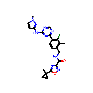 Cc1c(CNC(=O)c2noc(C3(C)CC3)n2)ccc(-c2ncnc(Nc3ccn(C)n3)n2)c1F